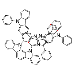 c1ccc(-c2nc(-c3ccccc3)nc(-c3cccc(-n4c5ccccc5c5ccc6c7ccccc7n(-c7cc(-c8ccc9c(c8)c8ccccc8n9-c8ccccc8)nc(-c8ccc9c(c8)c8ccccc8n9-c8ccccc8)c7)c6c54)c3)n2)cc1